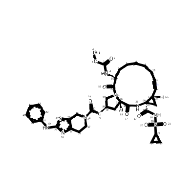 CC(C)(C)OC(=O)N[C@H]1CCCCC/C=C\[C@@H]2C[C@@]2(C(=O)NS(=O)(=O)C2CC2)NC(=O)[C@@H]2C[C@@H](OC(=O)N3CCc4nc(Nc5ccccc5)sc4C3)CN2C1=O